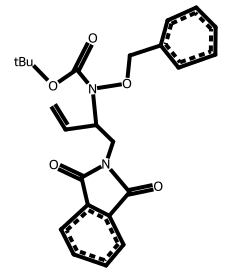 C=CC(CN1C(=O)c2ccccc2C1=O)N(OCc1ccccc1)C(=O)OC(C)(C)C